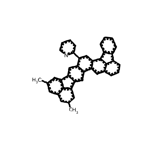 Cc1cc2cc(C)cc3c4cc5c(cc4c(c1)c23)c(-c1ccccn1)cc1c5cc2cccc3c4ccccc4c1c23